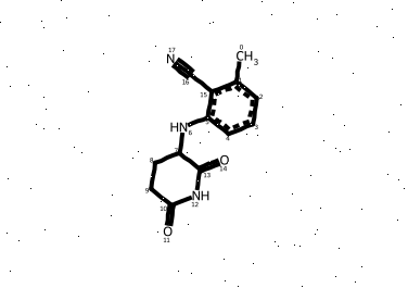 Cc1cccc(NC2CCC(=O)NC2=O)c1C#N